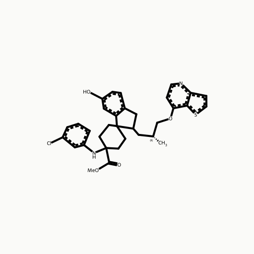 COC(=O)C1(Nc2cccc(Cl)c2)CCC2(CC1)c1cc(O)ccc1CC2C[C@@H](C)COc1ccnc2ccsc12